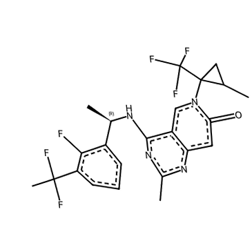 Cc1nc(N[C@H](C)c2cccc(C(C)(F)F)c2F)c2cn(C3(C(F)(F)F)CC3C)c(=O)cc2n1